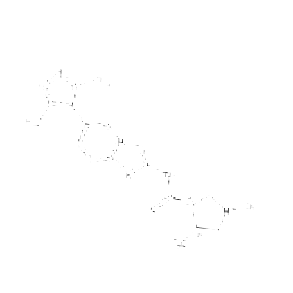 Cc1noc(C)c1-c1ccc2nc(NC(=O)[C@H]3CN(C#N)C[C@@H]3C(F)(F)F)cn2c1